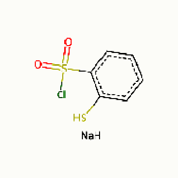 O=S(=O)(Cl)c1ccccc1S.[NaH]